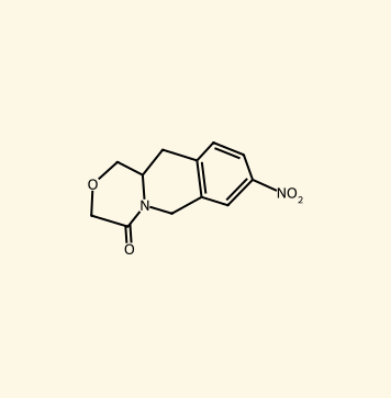 O=C1COCC2Cc3ccc([N+](=O)[O-])cc3CN12